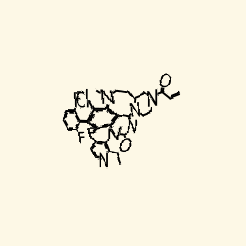 C=CC(=O)N1CCN2C3=NC4OC(C)c5nccc(C)c5N4c4c(F)c(-c5c(F)cccc5F)c(Cl)c(c43)N(C)CCC2C1